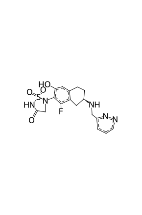 O=C1CN(c2c(O)cc3c(c2F)C[C@H](NCc2cccnn2)CC3)S(=O)(=O)N1